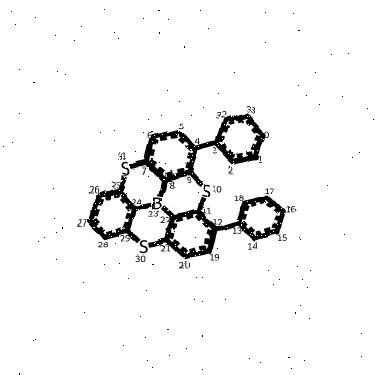 c1ccc(-c2ccc3c4c2Sc2c(-c5ccccc5)ccc5c2B4c2c(cccc2S5)S3)cc1